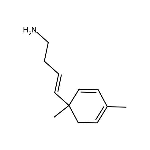 CC1=CCC(C)(C=CCCN)C=C1